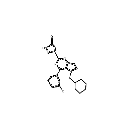 O=c1[nH]nc(-c2nc(-c3cncc(Cl)c3)c3c(ccn3CC3CCCCC3)n2)o1